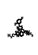 Cc1nnc(N2N=C(c3cc(F)ccc3F)SC2(CCCN)c2ccccc2O)s1